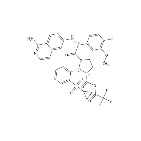 COc1cc([C@@H](Nc2ccc3c(N)nccc3c2)C(=O)N2CC[C@H](C(=O)OC(=O)C(F)(F)F)[C@@H]2c2ccccc2S(=O)(=O)C2CC2)ccc1F